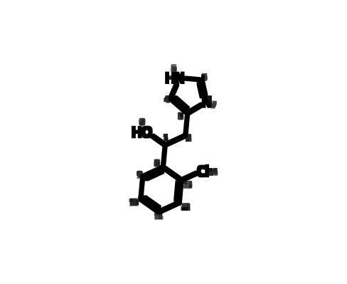 OC(Cc1c[nH]cn1)c1ccccc1Cl